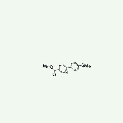 COC(=O)c1ccc(-c2ccc(SC)cc2)nc1